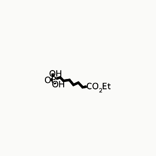 CCOC(=O)CCCCCCP(=O)(O)O